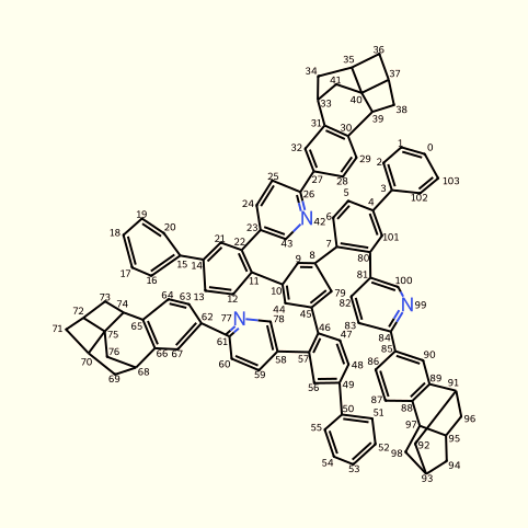 c1ccc(-c2ccc(-c3cc(-c4ccc(-c5ccccc5)cc4-c4ccc(-c5ccc6c(c5)C5CC7CC8CC6C78C5)nc4)cc(-c4ccc(-c5ccccc5)cc4-c4ccc(-c5ccc6c(c5)C5CC7CC8CC6C78C5)nc4)c3)c(-c3ccc(-c4ccc5c(c4)C4CC6CC(C4)C5C6)nc3)c2)cc1